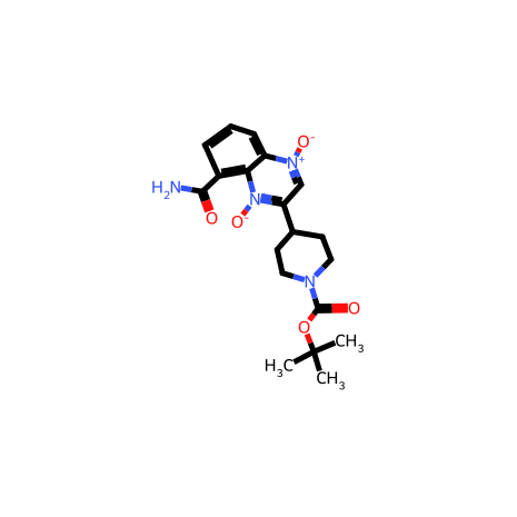 CC(C)(C)OC(=O)N1CCC(c2c[n+]([O-])c3cccc(C(N)=O)c3[n+]2[O-])CC1